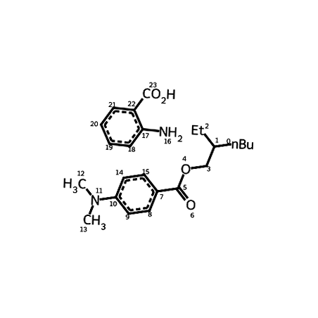 CCCCC(CC)COC(=O)c1ccc(N(C)C)cc1.Nc1ccccc1C(=O)O